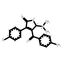 Cc1ccc(C(=O)C2=C(c3ccc(Cl)cc3)C(=O)OC2N(C)C)cc1